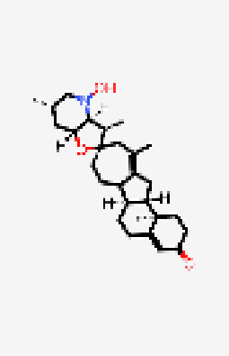 CC1=C2C[C@H]3[C@@H](CCC4=CC(=O)CC[C@@]43C)C2CC[C@@]2(C1)O[C@@H]1C[C@H](C)CN(O)[C@H]1[C@H]2C